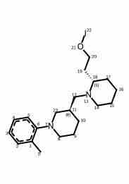 Cc1ccccc1N1CCC[C@H](CN2CCCC[C@H]2CCOI)C1